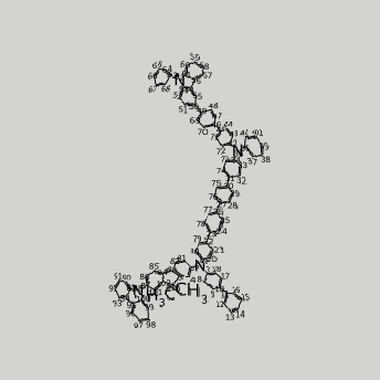 CC1(C)c2cc(N(c3ccc(-c4ccccc4)cc3)c3ccc(-c4ccc(-c5ccc(-c6ccc(N(c7ccccc7)c7ccc(-c8ccc(-c9ccc%10c(c9)c9ccccc9n%10-c9ccccc9)cc8)cc7)cc6)cc5)cc4)cc3)ccc2-c2ccc(-n3c4ccccc4c4ccccc43)cc21